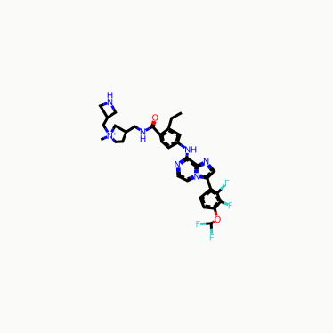 CCc1cc(Nc2nccn3c(-c4ccc(OC(F)F)c(F)c4F)cnc23)ccc1C(=O)NCC1CC[N+](C)(CC2CNC2)C1